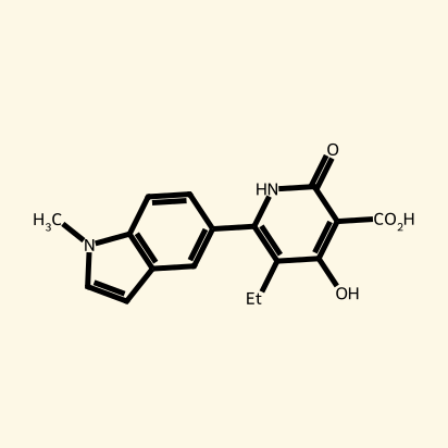 CCc1c(-c2ccc3c(ccn3C)c2)[nH]c(=O)c(C(=O)O)c1O